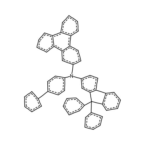 c1ccc(-c2ccc(N(c3ccc4c(c3)C(c3ccccc3)(c3ccccc3)c3ccccc3-4)c3ccc4c5ccccc5c5ccccc5c4c3)cc2)cc1